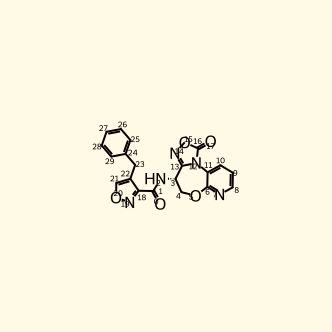 O=C(N[C@H]1COc2ncccc2-n2c1noc2=O)c1nocc1Cc1ccccc1